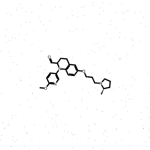 COc1ccc(N2c3ccc(OCCCN4CCC[C@H]4C)cc3CCC2C=O)cn1